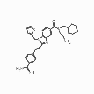 N=C(N)c1ccc(CCc2nc3cc(C(=O)N(CCN)CC4CCCCC4)ccc3n2Cc2cccs2)cc1